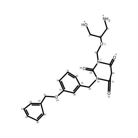 NCC(CO)OCN1C(=O)CC(=O)N(Cc2cccc(OCc3ccccc3)c2)C1=O